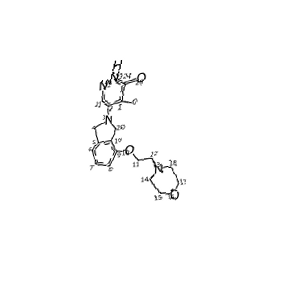 Cc1c(N2Cc3cccc(OCCN4CCOCC4)c3C2)cn[nH]c1=O